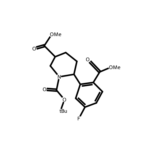 COC(=O)c1ccc(F)cc1C1CCC(C(=O)OC)CN1C(=O)OC(C)(C)C